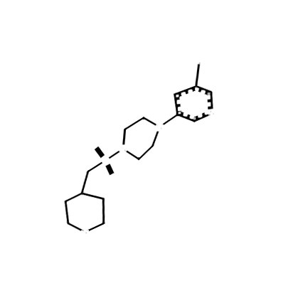 O=S(=O)(CC1CCNCC1)N1CCN(c2cncc(C(F)(F)F)c2)CC1